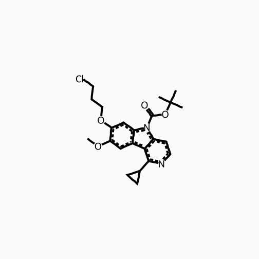 COc1cc2c3c(C4CC4)nccc3n(C(=O)OC(C)(C)C)c2cc1OCCCCl